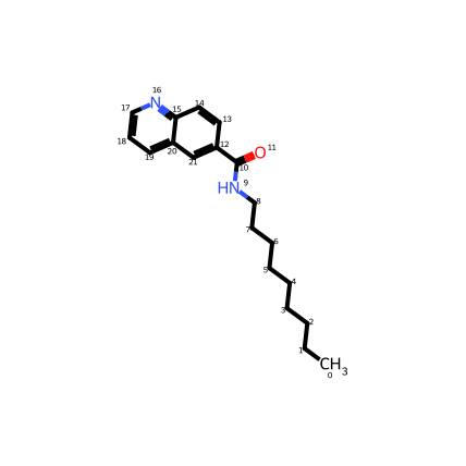 CCCCCCCCCNC(=O)c1ccc2ncccc2c1